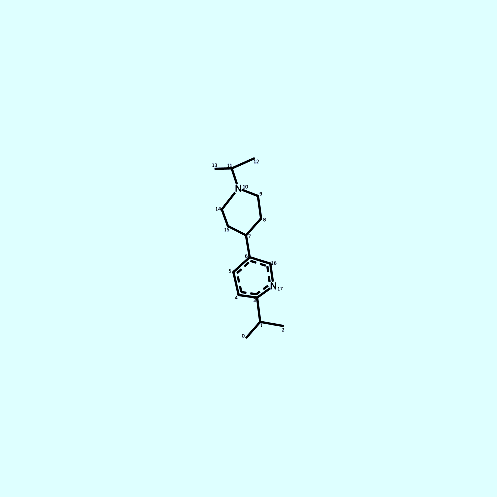 CC(C)c1ccc(C2CCN(C(C)C)CC2)cn1